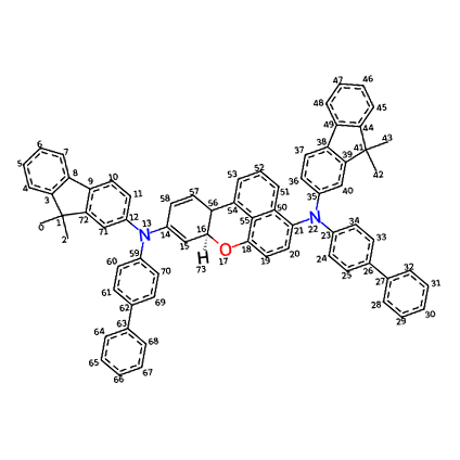 CC1(C)c2ccccc2-c2ccc(N(C3=C[C@@H]4Oc5ccc(N(c6ccc(-c7ccccc7)cc6)c6ccc7c(c6)C(C)(C)c6ccccc6-7)c6cccc(c56)C4C=C3)c3ccc(-c4ccccc4)cc3)cc21